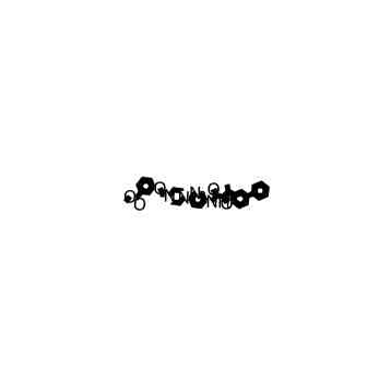 COC(=O)c1cccc(OCN2CCN(c3ccc(NC(=O)c4oc5ccc(-c6ccccc6)cc5c4C)cn3)CC2)c1